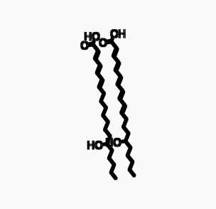 CCCCCC(O)CCCC=CC=CC=CC=CC=CC(=O)O.CCCCCC(O)CCCCCCCC=CC=CC=CC(=O)O